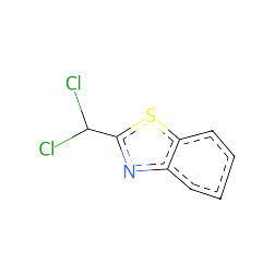 ClC(Cl)c1nc2ccccc2s1